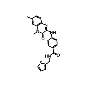 Cc1ccc2nc(Nc3ccc(C(=O)NCc4cccs4)cc3)c(=O)n(C)c2c1